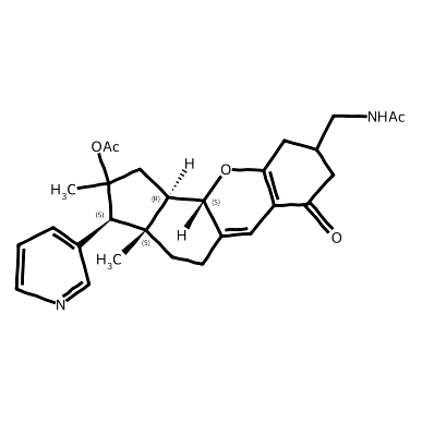 CC(=O)NCC1CC(=O)C2=C(C1)O[C@@H]1C(=C2)CC[C@@]2(C)[C@H]1CC(C)(OC(C)=O)[C@@H]2c1cccnc1